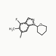 Cc1c(F)cc2c(cnn2C2CCCCO2)c1F